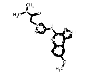 COc1ccc2nc(Nc3cnn(CC(=O)N(C)C)c3)c3n[nH]cc3c2c1